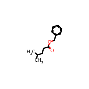 CC(C)CCC(=O)OCc1ccccc1